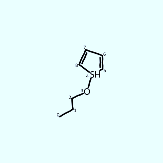 CCCO[SH]1C=CC=C1